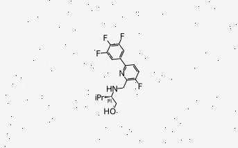 CC(C)[C@H](CO)NCc1nc(-c2cc(F)c(F)c(F)c2)ccc1F